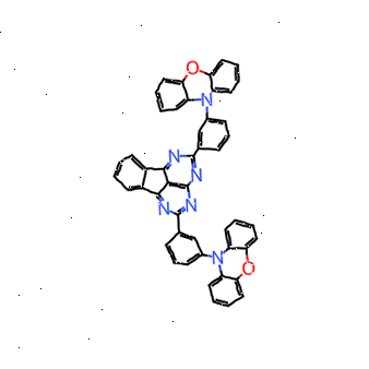 c1cc(-c2nc3c4c(nc(-c5cccc(N6c7ccccc7Oc7ccccc76)c5)nc4n2)-c2ccccc2-3)cc(N2c3ccccc3Oc3ccccc32)c1